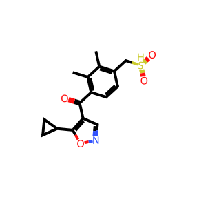 Cc1c(C[SH](=O)=O)ccc(C(=O)c2cnoc2C2CC2)c1C